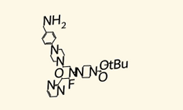 CC(C)(C)OC(=O)N1CCN(N2CC(N3CCN(c4ccc(CN)cc4)CC3)OC(c3ncccn3)C2F)CC1